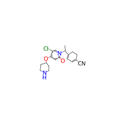 CC(C1=CC=C(C#N)CC1)n1cc(Cl)c(OC2CCNCC2)cc1=O